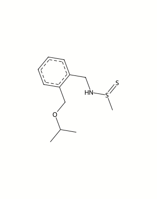 CC(C)OCc1ccccc1CNS(C)=S